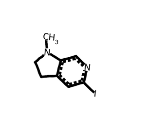 CN1CCc2cc(I)ncc21